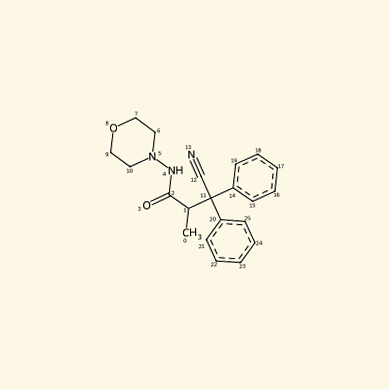 CC(C(=O)NN1CCOCC1)C(C#N)(c1ccccc1)c1ccccc1